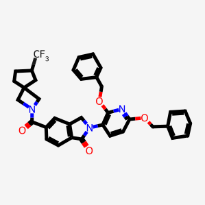 O=C(c1ccc2c(c1)CN(c1ccc(OCc3ccccc3)nc1OCc1ccccc1)C2=O)N1CC2(CCC(C(F)(F)F)C2)C1